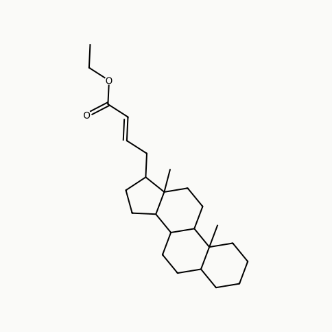 CCOC(=O)/C=C/CC1CCC2C3CCC4CCCCC4(C)C3CCC12C